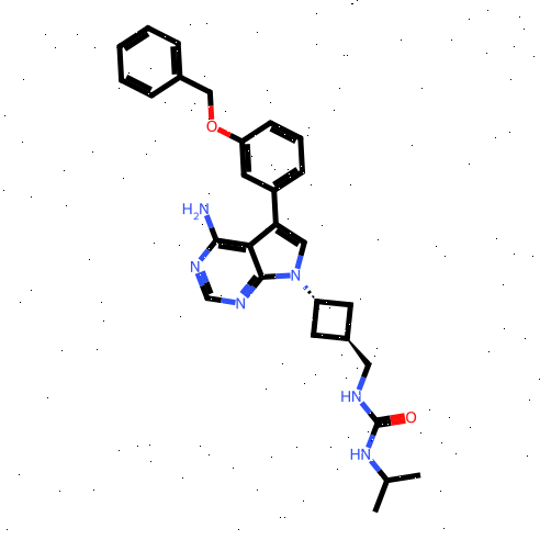 CC(C)NC(=O)NC[C@H]1C[C@H](n2cc(-c3cccc(OCc4ccccc4)c3)c3c(N)ncnc32)C1